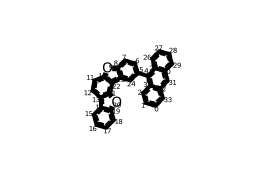 c1ccc2c(-c3ccc4oc5ccc6c7ccccc7oc6c5c4c3)c3ccccc3cc2c1